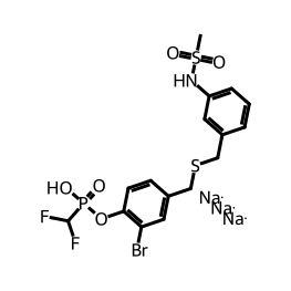 CS(=O)(=O)Nc1cccc(CSCc2ccc(OP(=O)(O)C(F)F)c(Br)c2)c1.[Na].[Na].[Na]